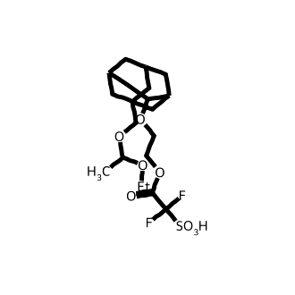 CCOC(C)OCC12CC3CC(C1)C(OCCOC(=O)C(F)(F)S(=O)(=O)O)C(C3)C2